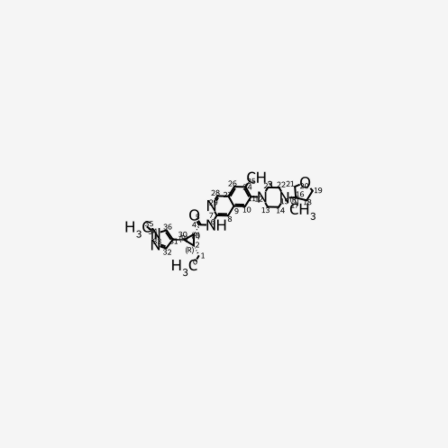 CC[C@H]1[C@@H](C(=O)Nc2cc3cc(N4CCN([C@]5(C)CCOC5)CC4)c(C)cc3cn2)[C@@H]1c1cnn(C)c1